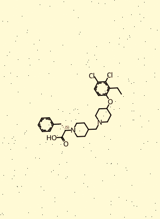 CCc1c(OC2CCN(CC3CCN([C@@H](Cc4ccccc4)C(=O)O)CC3)CC2)ccc(Cl)c1Cl